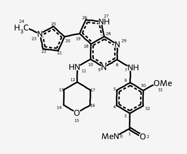 CNC(=O)c1ccc(Nc2nc(NC3CCOCC3)c3c(-c4ccn(C)c4)c[nH]c3n2)c(OC)c1